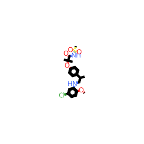 COc1ccc(Cl)cc1NCC(C)c1ccc(OC(C)(C)C(=O)NS(C)(=O)=O)cc1